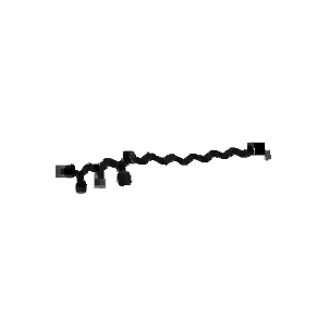 CCCCCCCCCCCCOC(=O)CNCC(=O)O